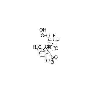 CC1(C)C2CC3OS(=O)(=O)C(C2OC(=O)C(F)(F)SOOO)C31